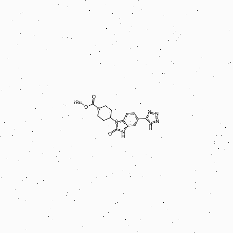 CC(C)(C)OC(=O)N1CCC(n2c(=O)[nH]c3cc(-c4nnn[nH]4)ccc32)CC1